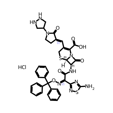 Cl.Nc1nc(/C(=N/OC(c2ccccc2)(c2ccccc2)c2ccccc2)C(=O)N[C@@H]2C(=O)N3C(C(=O)O)=C(/C=C4\CCN(C5CNNC5)C4=O)CS[C@H]23)ns1